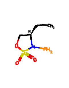 CC[C@@H]1COS(=O)(=O)N1P